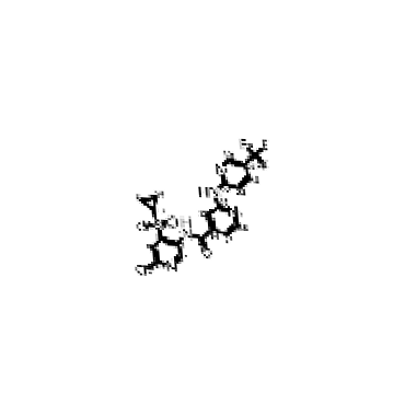 O=C(Nc1cnc(Cl)cc1S(=O)(=O)C1CC1)c1ccnc(Nc2ccc(C(F)(F)F)cn2)c1